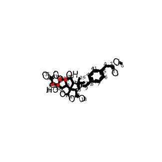 COC(=O)Cc1ccc(CO[C@H]2C(=O)OC3O[C@]45C(=O)OC6C[C@@H](C(C)(C)C)C32C64[C@@H](O)C2OC(=O)[C@@H](C)[C@@]25O)cc1